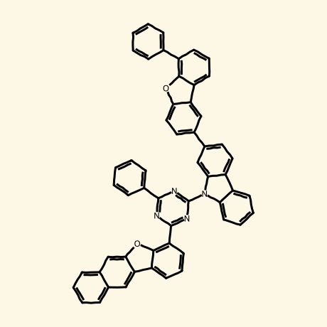 c1ccc(-c2nc(-c3cccc4c3oc3cc5ccccc5cc34)nc(-n3c4ccccc4c4ccc(-c5ccc6oc7c(-c8ccccc8)cccc7c6c5)cc43)n2)cc1